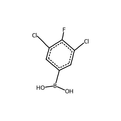 OB(O)c1cc(Cl)c(F)c(Cl)c1